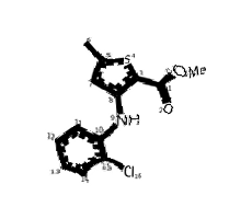 COC(=O)c1sc(C)cc1Nc1ccccc1Cl